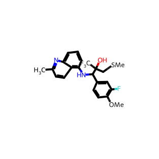 COc1ccc(C(Nc2cccc3nc(C)ccc23)C(O)(CSC)C(F)(F)F)cc1F